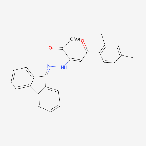 COC(=O)C(=CC(=O)c1ccc(C)cc1C)NN=C1c2ccccc2-c2ccccc21